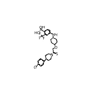 ON(O)c1ccc(NC2CCC(OCC(=S)N3CCC(c4ccc(Cl)cc4)CC3)CC2)cc1C(F)(F)F